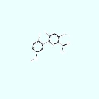 COc1ccc(F)c(-c2nc(C(=O)O)c(N)cc2F)c1